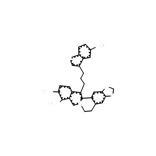 COc1ccc2[nH]cc(CCCc3c4[n+](cc5c(OC)c(OC)ccc35)CCc3cc5c(cc3-4)OCO5)c2c1